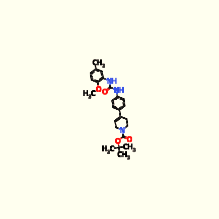 COc1ccc(C)cc1NC(=O)Nc1ccc(C2=CCN(C(=O)OC(C)(C)C)CC2)cc1